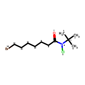 CC(C)(C)N(Cl)C(=O)CCCCCCBr